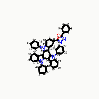 c1ccc(-c2nnc(-c3ccc4c(c3)c3c5c(c6ccccc6n5-c5ccccc5)c5c(c6ccccc6n5-c5ccccc5)c3n4-c3ccccc3)o2)cc1